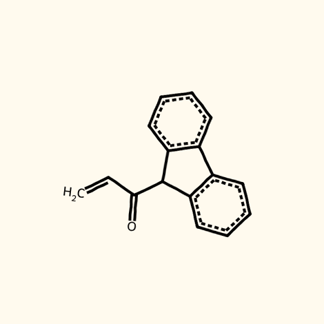 C=CC(=O)C1c2ccccc2-c2ccccc21